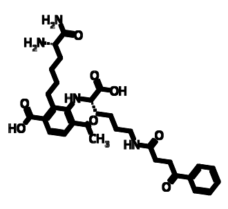 CC(=O)c1ccc(C(=O)O)c(CCCC[C@H](N)C(N)=O)c1N[C@@H](CCCCNC(=O)CCC(=O)c1ccccc1)C(=O)O